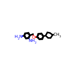 CC1CCC(c2ccc(OCc3ccc(N)cc3N)cc2)CC1